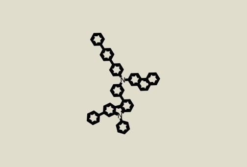 c1ccc(-c2ccc(-c3ccc(N(c4cccc(-c5cccc6c5c5ccc(-c7ccccc7)cc5n6-c5ccccc5)c4)c4ccc5c(ccc6ccccc65)c4)cc3)cc2)cc1